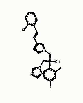 OC(Cn1ccc(C=Cc2ccccc2Cl)c1)(Cn1cncn1)c1ccc(F)cc1F